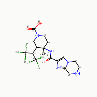 CC1(NC(=O)c2cn3c(n2)CNCC3)CCN(C(=O)O)CC1C(C(F)(F)F)C(F)(F)F